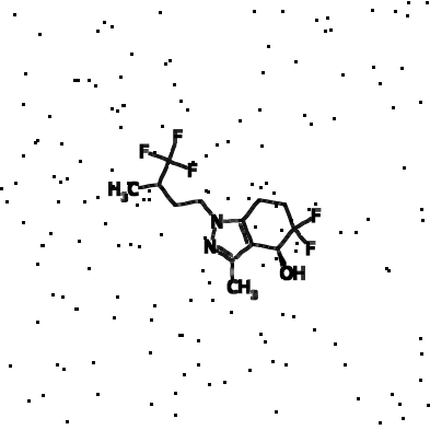 Cc1nn(CCC(C)C(F)(F)F)c2c1[C@H](O)C(F)(F)CC2